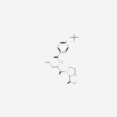 CCCC(NC(=O)c1ccc(OC(F)(F)F)cc1)C(=O)N1CCC2OCC(=O)C21